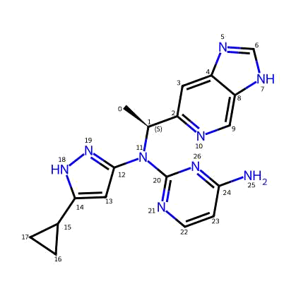 C[C@@H](c1cc2nc[nH]c2cn1)N(c1cc(C2CC2)[nH]n1)c1nccc(N)n1